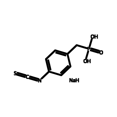 O=P(O)(O)Cc1ccc(N=C=S)cc1.[NaH]